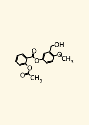 COc1ccc(OC(=O)c2ccccc2OC(C)=O)cc1CO